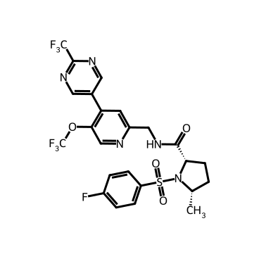 C[C@H]1CC[C@@H](C(=O)NCc2cc(-c3cnc(C(F)(F)F)nc3)c(OC(F)(F)F)cn2)N1S(=O)(=O)c1ccc(F)cc1